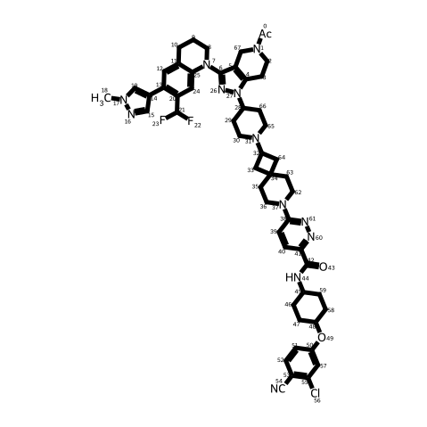 CC(=O)N1CCc2c(c(N3CCCc4cc(-c5cnn(C)c5)c(C(F)F)cc43)nn2C2CCN(C3CC4(CCN(c5ccc(C(=O)NC6CCC(Oc7ccc(C#N)c(Cl)c7)CC6)nn5)CC4)C3)CC2)C1